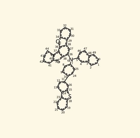 c1ccc2cc(N(c3ccc(-c4ccc5c(c4)sc4ccccc45)cc3)c3cc4c5ccccc5oc4c4c3sc3ccccc34)ccc2c1